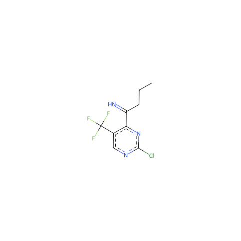 CCCC(=N)c1nc(Cl)ncc1C(F)(F)F